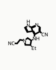 CC[C@H]1CN(CCC#N)C[C@H]1Nc1c(C#N)cnc2[nH]ccc12